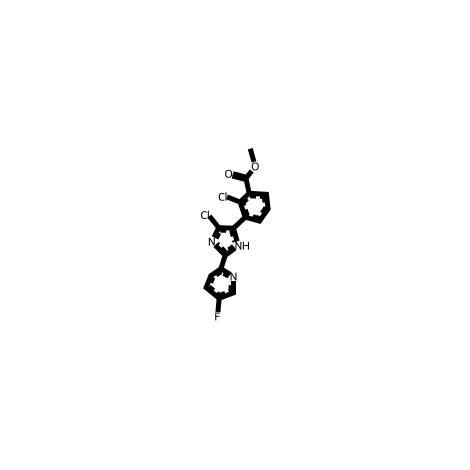 COC(=O)c1cccc(-c2[nH]c(-c3ccc(F)cn3)nc2Cl)c1Cl